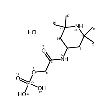 CC1(C)CC(NC(=O)COP(=O)(O)O)CC(C)(C)N1.Cl